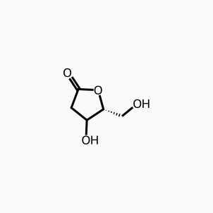 O=C1CC(O)[C@@H](CO)O1